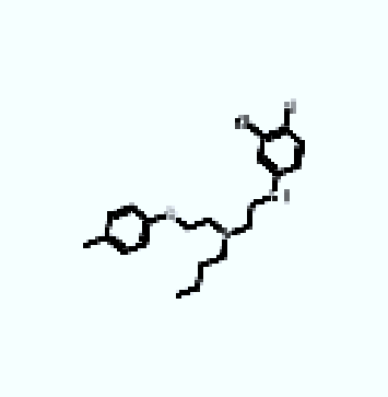 CCCCN(CCNc1ccc(Cl)c(Cl)c1)CCOc1ccc(C)cc1